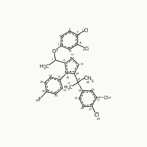 CC(Oc1ccc(Cl)c(Cl)c1)c1ncc(C(C)(C)c2ccc(Cl)c(Cl)c2)n1-c1ccc(F)cc1